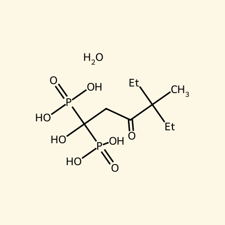 CCC(C)(CC)C(=O)CC(O)(P(=O)(O)O)P(=O)(O)O.O